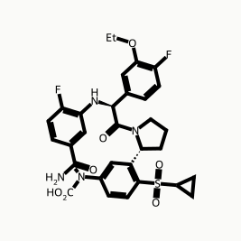 CCOc1cc([C@H](Nc2cc(C(N)=O)ccc2F)C(=O)N2CCC[C@@H]2c2cc(N(C)C(=O)O)ccc2S(=O)(=O)C2CC2)ccc1F